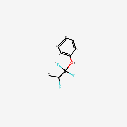 CC(F)C(F)(F)Oc1cc[c]cc1